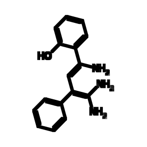 NC(N)=C(/C=C(\N)c1ccccc1O)c1ccccc1